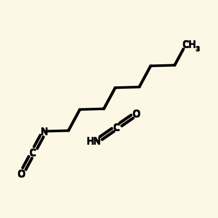 CCCCCCCCN=C=O.N=C=O